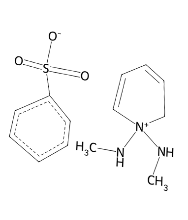 CN[N+]1(NC)C=CC=CC1.O=S(=O)([O-])c1ccccc1